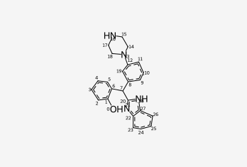 Oc1ccccc1C(c1c[c]cc(N2CCNCC2)c1)c1nc2ccccc2[nH]1